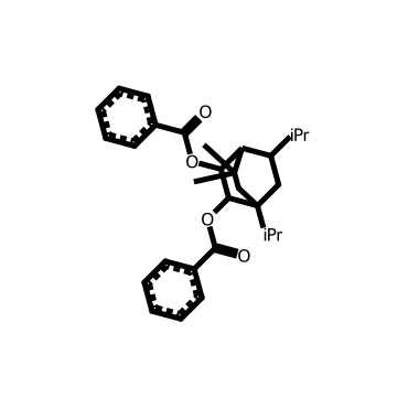 CC(C)C1CC2(C(C)C)CC(C)(C)C1C(OC(=O)c1ccccc1)C2OC(=O)c1ccccc1